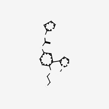 Cn1nccc1-c1cc(NC(=O)Oc2ccco2)ccc1OCCN